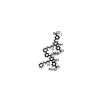 COC(=O)c1ccc2c(c1)[nH]c1nc(Cc3cccc(C(=O)C(F)(F)F)c3)nc(NCCCN3CCCC(c4cccc(C(OC)c5nc(NCCCN6CCCCC6)c6c(n5)[nH]c5cc(C(=O)OC)ccc56)c4)C3)c12